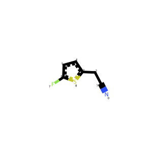 N#CCc1ccc(F)s1